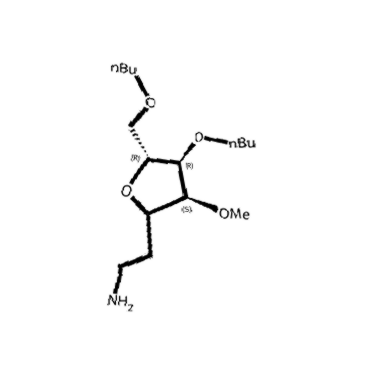 CCCCOC[C@H]1OC(CCN)[C@H](OC)[C@@H]1OCCCC